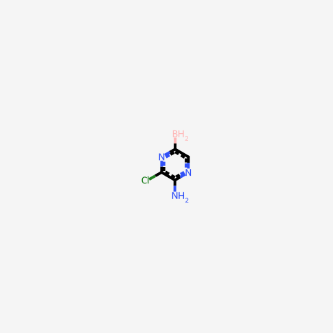 Bc1cnc(N)c(Cl)n1